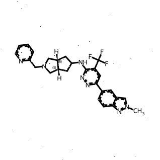 Cn1cc2cc(-c3cc(C(F)(F)F)c(NC4C[C@@H]5CN(Cc6ccccn6)C[C@@H]5C4)nn3)ccc2n1